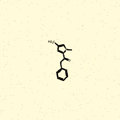 Cn1cc(C(=O)O)cc1C(=O)Cc1ccccc1